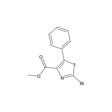 COC(=O)c1nc(Br)sc1-c1ccccc1